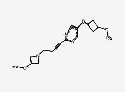 CC(C)(C)OC1CC(Oc2cnc(C#CCCN3CC(OC(C)(C)C)C3)nc2)C1